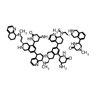 CN1CC(=O)NC(c2cccc3c2C[C@H](CCN(C)[C@H]2CCC(c4cc5c(c(C6CC(N)CC(=O)N6)c4)C[C@@H](CN(C)[C@H]4CCC(c6cc7c(c(C8CC(N)CC(=O)N8)c6)C[C@H](CCN(C)[C@H]6CCCc8cccnc86)NC7)c6cccnc64)NC5)c4cccnc42)NC3)C1